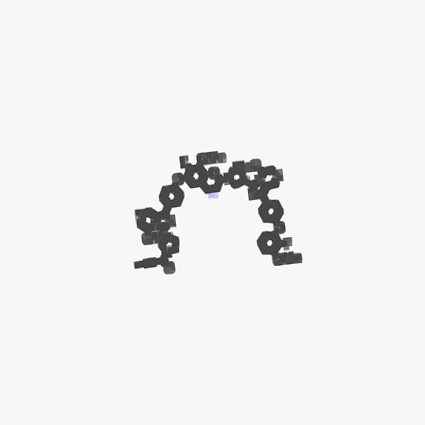 CC#CC(=O)N1CC[C@@H](c2nc(-c3ccc(Oc4cc(/C=C\C(=O)N5CC[C@@H](c6nc(-c7ccc(Oc8cccc(OC)c8F)cc7)c7cncc(OC)n67)C5)cc(OC)c4F)cc3)c3cncc(OC)n23)C1